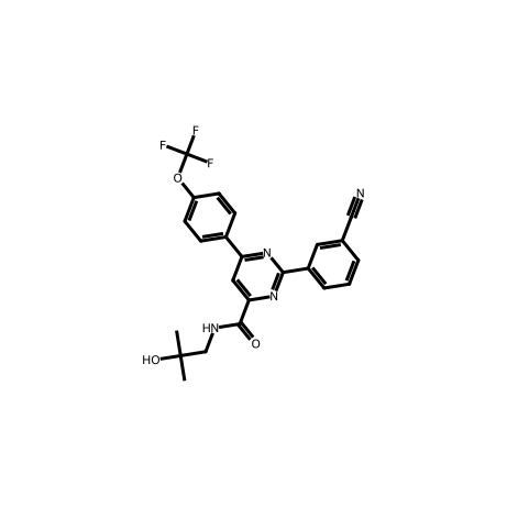 CC(C)(O)CNC(=O)c1cc(-c2ccc(OC(F)(F)F)cc2)nc(-c2cccc(C#N)c2)n1